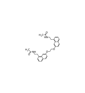 CC(=O)NCCc1cccc2ccc(OCCOc3ccc4cccc(CCNC(C)=O)c4c3)cc12